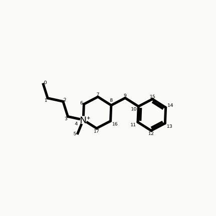 CCCC[N+]1(C)CCC(Cc2ccccc2)CC1